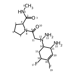 CNC(=O)C1CCCN1C(=O)CN(N)C1CC(F)C(F)=CC1N